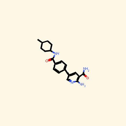 CC1CCC(NC(=O)c2ccc(-c3cnc(N)c(C(N)=O)c3)cc2)CC1